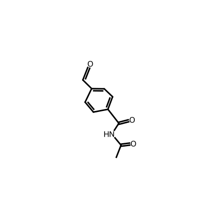 CC(=O)NC(=O)c1ccc(C=O)cc1